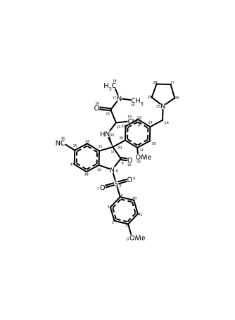 COc1ccc(S(=O)(=O)N2C(=O)[C@@](NC(C)C(=O)N(C)C)(c3ccc(CN4CCCC4)cc3OC)c3cc(C#N)ccc32)cc1